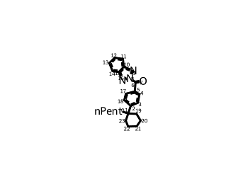 CCCCCC1(c2ccc(C(=O)n3nc4ccccc4n3)cc2)CCCCC1